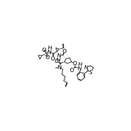 C=CCCCCN(C)C(=O)[C@@H]1C[C@H](OC(=O)Nc2ccccc2C2=NCCS2)C[C@H]1C(=O)N[C@]1(C(=O)NS(=O)(=O)C2CC2)C[C@H]1C=C